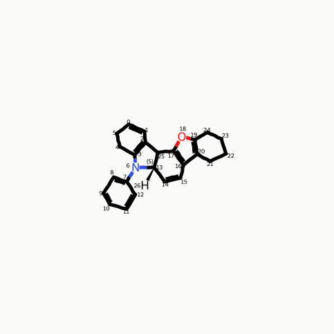 C1=CC2=C(CC1)N(c1ccccc1)[C@H]1C=Cc3c(oc4c3CCCC4)C21